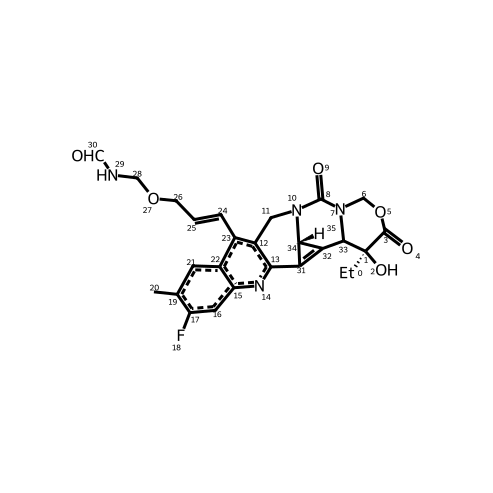 CC[C@@]1(O)C(=O)OCN2C(=O)N3Cc4c(nc5cc(F)c(C)cc5c4/C=C/COCNC=O)C4=C(C21)[C@H]43